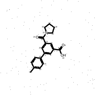 Cc1ccc(-c2cc(C(=O)O)cc(C(=O)N3CCCC3)c2)cc1